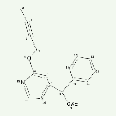 CC#CCOc1cc(C(OC(C)=O)c2ccccc2)ncn1